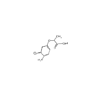 CC(OC1=CC=C(N)C(Cl)C1)C(=O)O